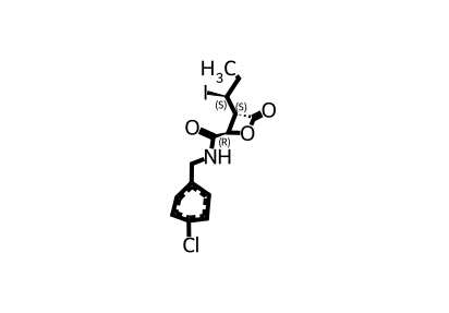 CC[C@H](I)[C@@H]1C(=O)O[C@H]1C(=O)NCc1ccc(Cl)cc1